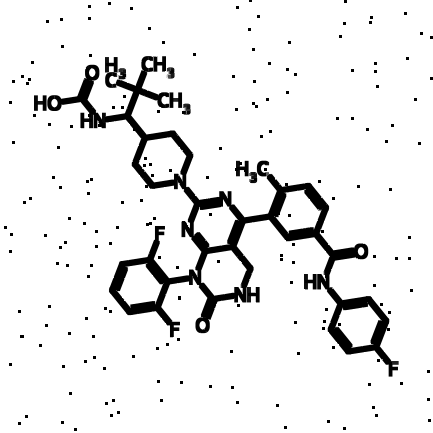 Cc1ccc(C(=O)Nc2ccc(F)cc2)cc1-c1nc(N2CCC(C(NC(=O)O)C(C)(C)C)CC2)nc2c1CNC(=O)N2c1c(F)cccc1F